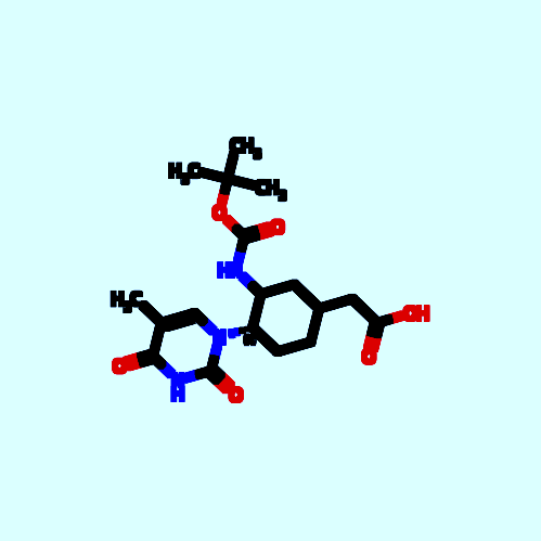 Cc1cn([C@H]2CCC(CC(=O)O)CC2NC(=O)OC(C)(C)C)c(=O)[nH]c1=O